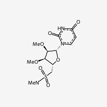 CNS(=O)(=O)C[C@H]1O[C@@H](n2ccc(=O)[nH]c2=O)[C@H](OC)[C@@H]1OC